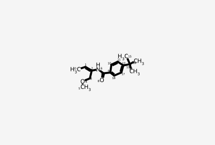 C/C=C(\COC)NC(=O)c1ccc(C(C)(C)C)cc1